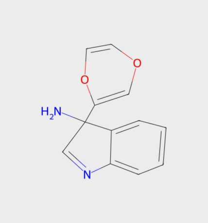 NC1(C2=COC=CO2)C=Nc2ccccc21